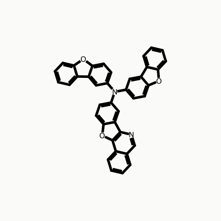 c1ccc2c(c1)cnc1c3cc(N(c4ccc5oc6ccccc6c5c4)c4ccc5oc6ccccc6c5c4)ccc3oc21